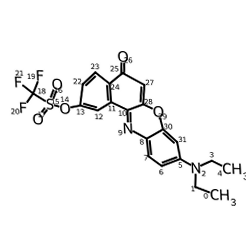 CCN(CC)c1ccc2nc3c4cc(OS(=O)(=O)C(F)(F)F)ccc4c(=O)cc-3oc2c1